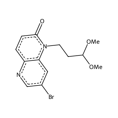 COC(CCn1c(=O)ccc2ncc(Br)cc21)OC